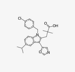 CC(C)c1ccc2c(c1)c(-c1cnco1)c(CC(C)(C)C(=O)O)n2Cc1ccc(Cl)cc1